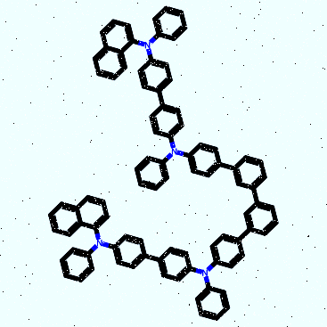 c1ccc(N(c2ccc(-c3ccc(N(c4ccccc4)c4cccc5ccccc45)cc3)cc2)c2ccc(-c3cccc(-c4cccc(-c5ccc(N(c6ccccc6)c6ccc(-c7ccc(N(c8ccccc8)c8cccc9ccccc89)cc7)cc6)cc5)c4)c3)cc2)cc1